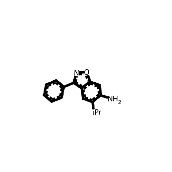 CC(C)c1cc2c(-c3ccccc3)noc2cc1N